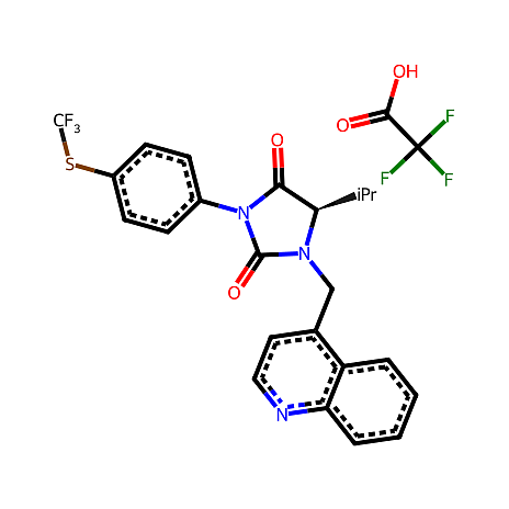 CC(C)[C@@H]1C(=O)N(c2ccc(SC(F)(F)F)cc2)C(=O)N1Cc1ccnc2ccccc12.O=C(O)C(F)(F)F